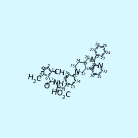 Cc1csc(C)c1C(=O)N[C@@H](Cc1ccc(N2CCC(CN(c3ccccc3)c3ccccn3)CC2)cc1)C(=O)O